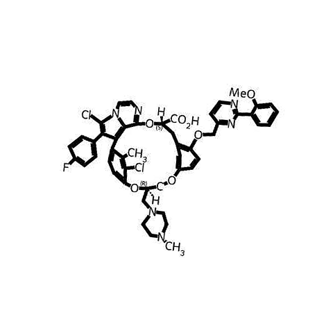 COc1ccccc1-c1nccc(COc2ccc3cc2C[C@@H](C(=O)O)Oc2nccn4c(Cl)c(-c5ccc(F)cc5)c(c24)-c2ccc(c(Cl)c2C)O[C@H](CN2CCN(C)CC2)CO3)n1